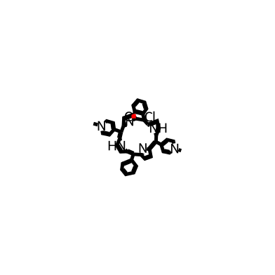 CN1C=CC(C2=C3C=CC(=N3)C(c3ccccc3)=c3ccc([nH]3)=C(C3=CCN(C)C=C3)C3=NC(Cl)(C=C3)C(Cl)(c3ccccc3)c3ccc2[nH]3)=CC1